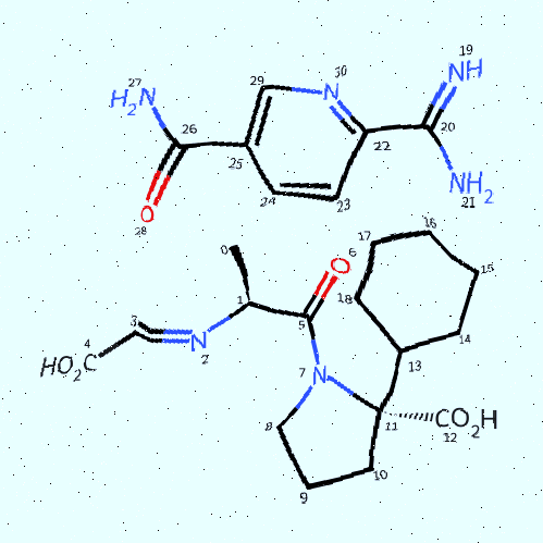 C[C@H](N=CC(=O)O)C(=O)N1CCC[C@]1(C(=O)O)C1CCCCC1.N=C(N)c1ccc(C(N)=O)cn1